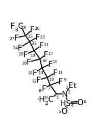 [CH2]C(N(CC)[SH](=O)=O)C(F)(F)C(F)(F)C(F)(F)C(F)(F)C(F)(F)C(F)(F)C(F)(F)C(F)(F)F